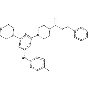 Cc1ccc(Nc2cc(N3CCN(C(=O)OCc4ccccc4)CC3)nc(N3CCNCC3)n2)cc1